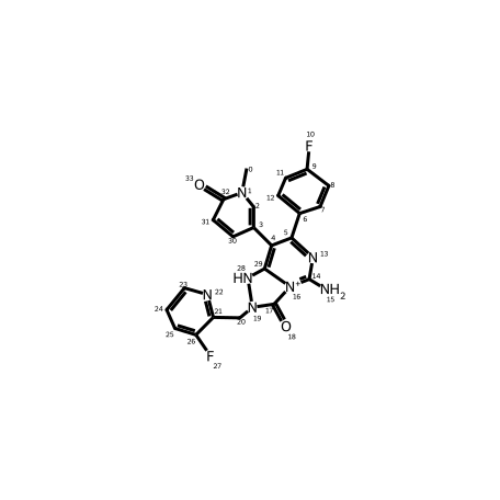 Cn1cc(-c2c(-c3ccc(F)cc3)nc(N)[n+]3c(=O)n(Cc4ncccc4F)[nH]c23)ccc1=O